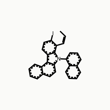 C/C=C\c1c(I)ccc2c3c4ccccc4ccc3n(-c3cccc4ccccc34)c12